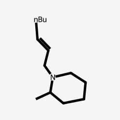 CCCC/C=C/CN1CCCCC1C